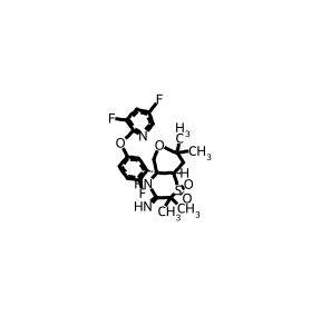 CC1(C)C[C@@H]2[C@](c3cc(Oc4ncc(F)cc4F)ccc3F)(CO1)NC(=N)C(C)(C)S2(=O)=O